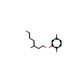 CC(C)CCCC(C)CCOc1cc(C=O)ccc1Br